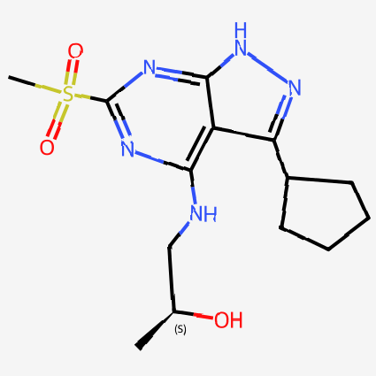 C[C@H](O)CNc1nc(S(C)(=O)=O)nc2[nH]nc(C3CCCC3)c12